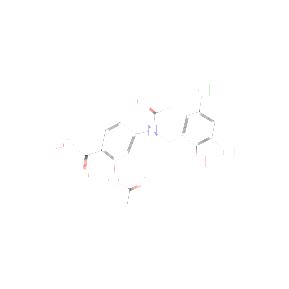 COC(=O)c1ccc(N(Cc2cc(Cl)cc(Cl)c2O)C(C)=O)cc1OC(C)=O